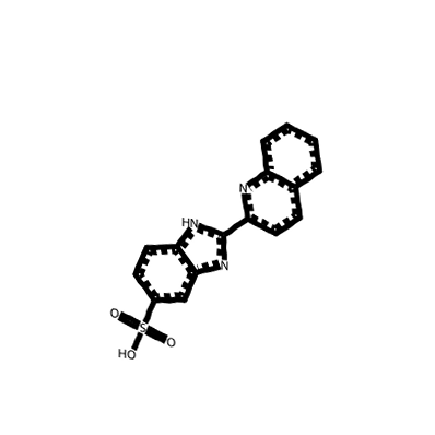 O=S(=O)(O)c1ccc2[nH]c(-c3ccc4ccccc4n3)nc2c1